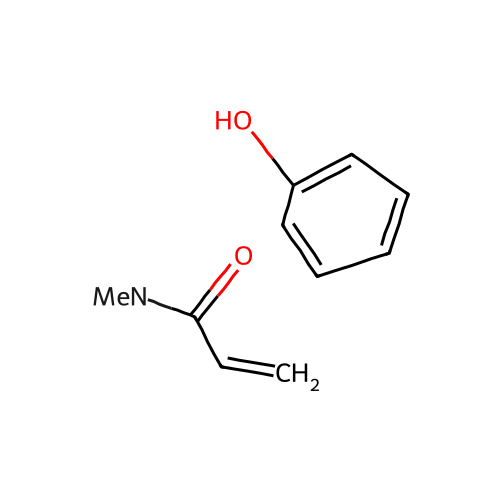 C=CC(=O)NC.Oc1ccccc1